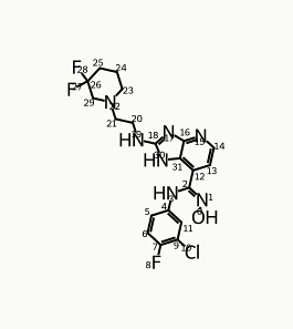 O/N=C(\Nc1ccc(F)c(Cl)c1)c1ccnc2nc(NCCN3CCCC(F)(F)C3)[nH]c12